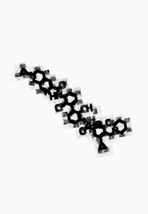 Cc1c(NC(=O)c2cc(C3CC3)c(CN3CCCC[C@H]3C(=O)O)cn2)cccc1-c1cccc(NC(=O)c2cc3c(cn2)CN(C2CC2)CC3)c1Cl